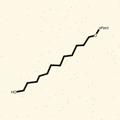 CCCCCOCCCCCCCCCCCCO